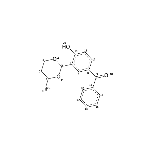 CC(C)C1CCOC(c2cc(C(=O)c3ccccc3)ccc2O)O1